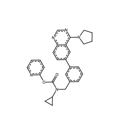 O=C(Oc1ccccn1)N(Cc1cccc(-c2ccc3ncnc(N4CCCC4)c3c2)c1)C1CC1